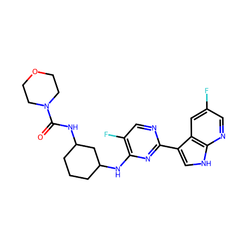 O=C(NC1CCCC(Nc2nc(-c3c[nH]c4ncc(F)cc34)ncc2F)C1)N1CCOCC1